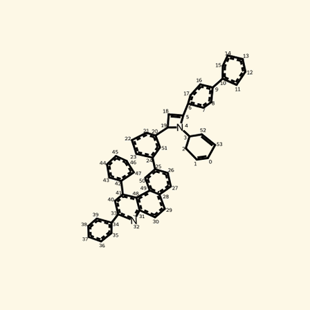 C1=CCC(N2C(c3ccc(-c4ccccc4)cc3)=CC2c2cccc(-c3ccc4ccc5nc(-c6ccccc6)cc(-c6ccccc6)c5c4c3)c2)C=C1